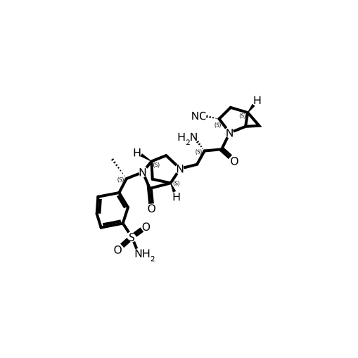 C[C@@H](c1cccc(S(N)(=O)=O)c1)N1C(=O)[C@@H]2C[C@H]1CN2C[C@H](N)C(=O)N1C2C[C@H]2C[C@H]1C#N